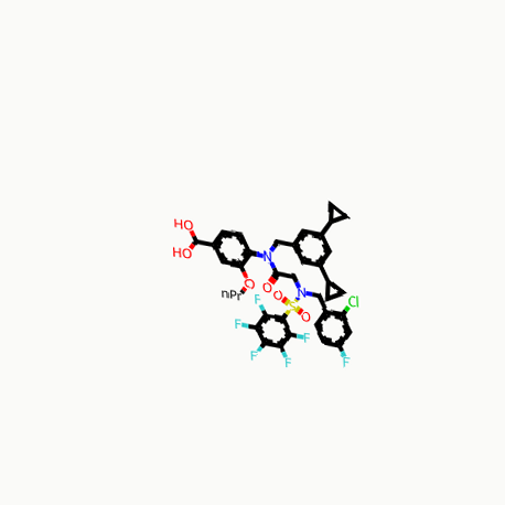 CCCOc1cc(C(O)O)ccc1N(Cc1cc(C2CC2)cc(C2CC2)c1)C(=O)CN(Cc1ccc(F)cc1Cl)S(=O)(=O)c1c(F)c(F)c(F)c(F)c1F